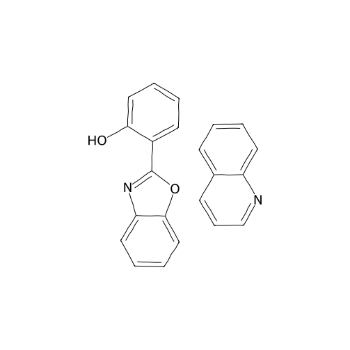 Oc1ccccc1-c1nc2ccccc2o1.c1ccc2ncccc2c1